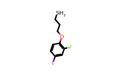 Fc1cc(I)ccc1OCCC[SiH3]